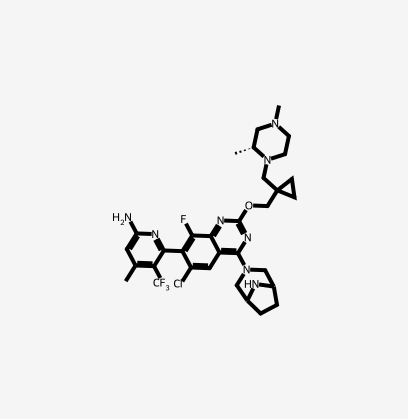 Cc1cc(N)nc(-c2c(Cl)cc3c(N4CC5CCC(C4)N5)nc(OCC4(CN5CCN(C)C[C@H]5C)CC4)nc3c2F)c1C(F)(F)F